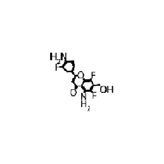 Nc1ccc(-c2cc(=O)c3c(N)c(F)c(CO)c(F)c3o2)cc1F